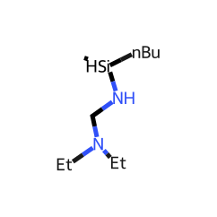 CCCC[SiH](C)NCN(CC)CC